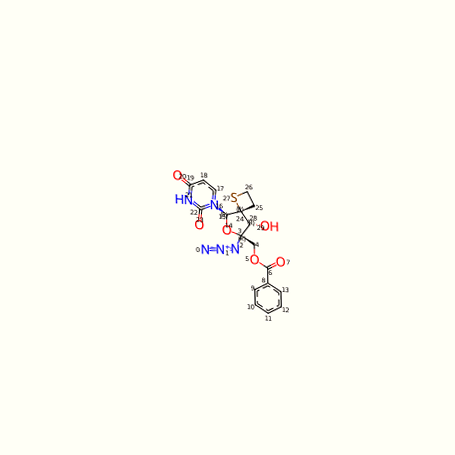 [N-]=[N+]=N[C@]1(COC(=O)c2ccccc2)O[C@@H](n2ccc(=O)[nH]c2=O)[C@@]2(CCS2)[C@@H]1O